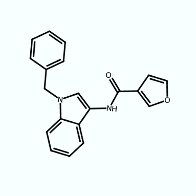 O=C(Nc1cn(Cc2ccccc2)c2ccccc12)c1ccoc1